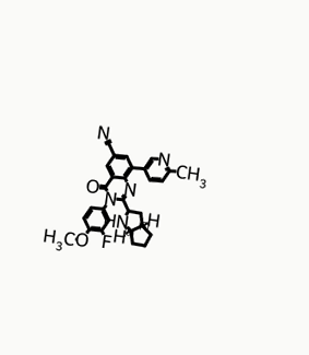 COc1ccc(-n2c(C3C[C@@H]4CCC[C@@H]4N3)nc3c(-c4ccc(C)nc4)cc(C#N)cc3c2=O)cc1F